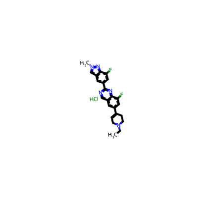 CCN1CC=C(c2cc(F)c3nc(-c4cc(F)c5nn(C)cc5c4)ncc3c2)CC1.Cl